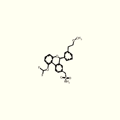 COCCc1cccc(C2Oc3cccc(OC(F)F)c3-c3ccc(CS(N)(=O)=O)cc32)c1